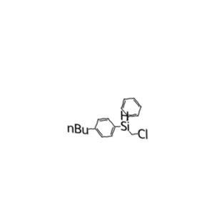 CCCCc1ccc([SiH](CCl)c2ccccc2)cc1